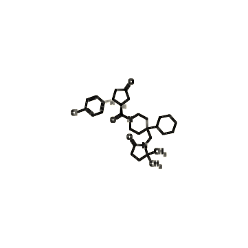 CC1(C)CCC(=O)N1CC1(C2CCCCC2)CCN(C(=O)[C@@H]2CC(=O)C[C@H]2c2ccc(Cl)cc2)CC1